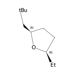 CC[C@@H]1CC[C@H](CC(C)(C)C)O1